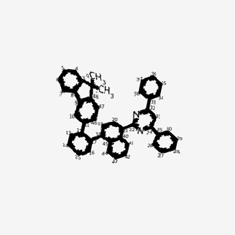 CC1(C)c2ccccc2-c2cc(-c3ccccc3-c3ccc(-c4nc(-c5ccccc5)cc(-c5ccccc5)n4)c4ccccc34)ccc21